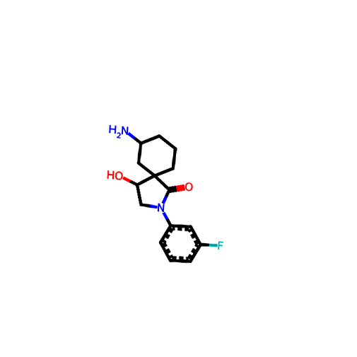 NC1CCCC2(C1)C(=O)N(c1cccc(F)c1)CC2O